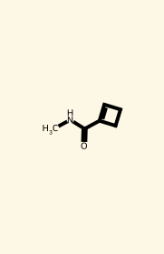 CNC(=O)C1=CCC1